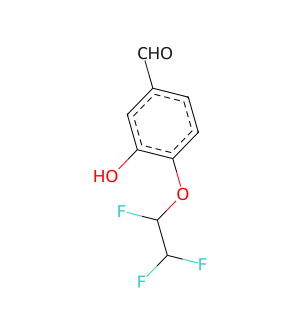 O=Cc1ccc(OC(F)C(F)F)c(O)c1